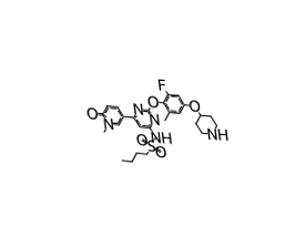 CCCCS(=O)(=O)Nc1cc(-c2ccc(=O)n(C)c2)nc(Oc2c(C)cc(OC3CCNCC3)cc2F)n1